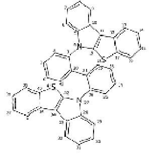 c1ccc(-n2c3ccccc3c3c4ccccc4sc32)c(-c2ccccc2-n2c3ccccc3c3c4ccccc4sc32)c1